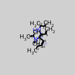 C=CC(=C)N/C(C=C)=C(/C=C\CC)N(C)C(C)C